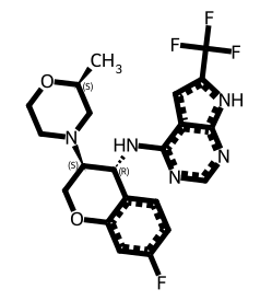 C[C@H]1CN([C@@H]2COc3cc(F)ccc3[C@H]2Nc2ncnc3[nH]c(C(F)(F)F)cc23)CCO1